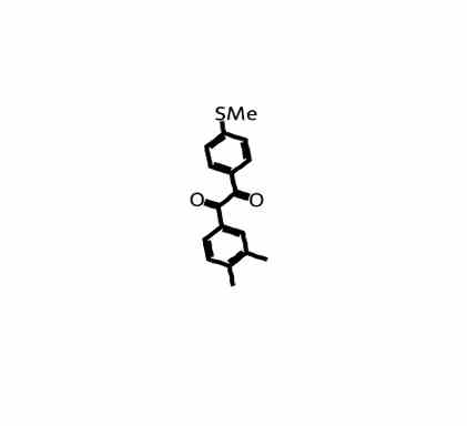 CSc1ccc(C(=O)C(=O)c2ccc(C)c(C)c2)cc1